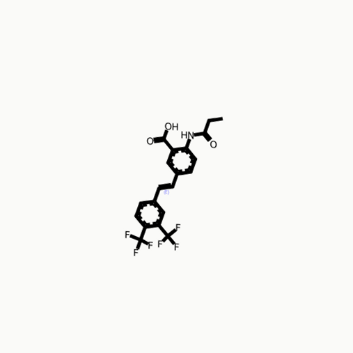 CCC(=O)Nc1ccc(/C=C/c2ccc(C(F)(F)F)c(C(F)(F)F)c2)cc1C(=O)O